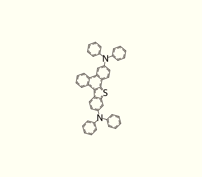 c1ccc(N(c2ccccc2)c2ccc3c(c2)sc2c4ccc(N(c5ccccc5)c5ccccc5)cc4c4ccccc4c32)cc1